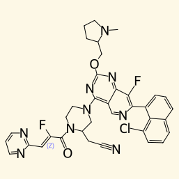 CN1CCCC1COc1nc(N2CCN(C(=O)/C(F)=C/c3ncccn3)C(CC#N)C2)c2cnc(-c3cccc4cccc(Cl)c34)c(F)c2n1